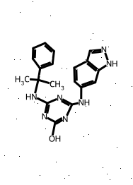 CC(C)(Nc1nc(O)nc(Nc2ccc3cn[nH]c3c2)n1)c1ccccc1